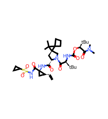 C=C[C@@H]1C[C@]1(NC(=O)[C@@H]1C[C@@]2(CN1C(=O)[C@@H](NC(=O)O[C@H](C(=O)N(C)C)C(C)(C)C)C(C)(C)C)C(C)(C)C21CCC1)C(=O)NS(=O)(=O)C1CC1